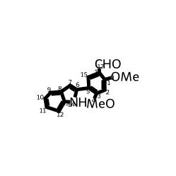 COc1cc(OC)c(-c2cc3ccccc3[nH]2)cc1C=O